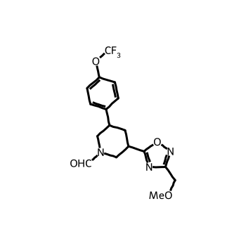 COCc1noc(C2CC(c3ccc(OC(F)(F)F)cc3)CN(C=O)C2)n1